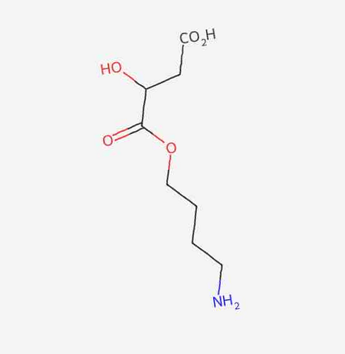 NCCCCOC(=O)C(O)CC(=O)O